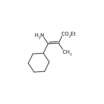 CCOC(=O)C(C)=C(N)C1CCCCC1